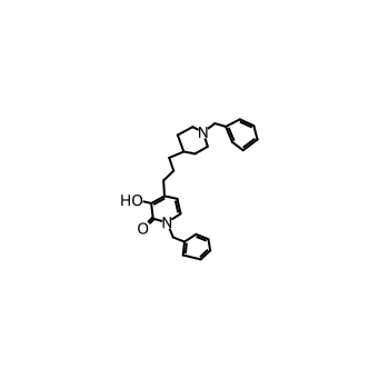 O=c1c(O)c(CCCC2CCN(Cc3ccccc3)CC2)ccn1Cc1ccccc1